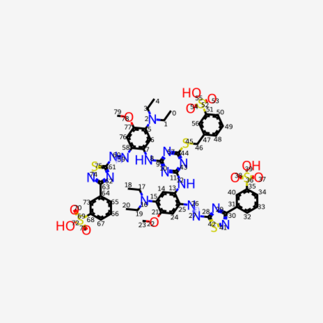 CCN(CC)c1cc(Nc2nc(Nc3cc(N(CC)CC)c(OC)cc3/N=N/c3nc(-c4cccc(S(=O)(=O)O)c4)ns3)nc(SCc3cccc(S(=O)(=O)O)c3)n2)c(/N=N/c2nc(-c3cccc(S(=O)(=O)O)c3)ns2)cc1OC